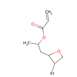 C=CC(=O)OC(C)CC1OCC1CC